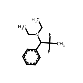 CCN(CC)C(c1ccccc1)C(C)(F)F